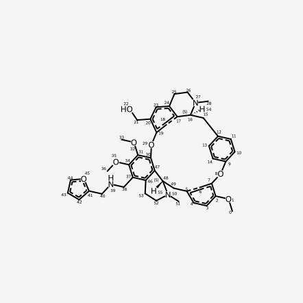 COc1ccc2cc1Oc1ccc(cc1)C[C@H]1c3cc(c(CO)cc3CCN1C)Oc1c(OC)c(OC)c(CNCc3ccco3)c3c1[C@H](C2)N(C)CC3